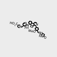 COc1cc(-c2nccc(-c3cccc(Nc4nccc(CN5CC[C@@H](C(=O)O)C5)c4F)c3Cl)c2Cl)ccc1CNC[C@H]1CCC(=O)N1